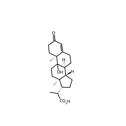 CC(C(=O)O)[C@H]1CC[C@H]2[C@@H]3CCC4=CC(=O)CC[C@]4(C)C3(O)CC[C@]12C